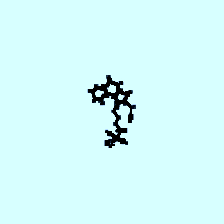 CS(=O)(=O)NCCCn1c(CCl)nc2cnc3cccnc3c21